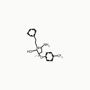 C[C@](CCN)(Oc1ccc(C(F)(F)F)cc1)C(O)NCCc1ccccc1